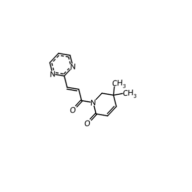 CC1(C)C=CC(=O)N(C(=O)C=Cc2ncccn2)C1